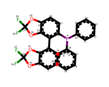 Cc1ccc2c(c1-c1c(P(c3ccccc3)c3ccccc3)ccc3c1OC(F)(F)O3)OC(F)(F)O2